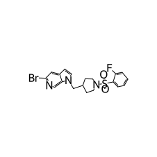 O=S(=O)(c1ccccc1F)N1CCC(Cn2ccc3cc(Br)ncc32)CC1